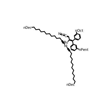 CCCCCCCCCCCCCCCCCCCCCC#[C][Ni][C]#CCCCCCCCCCCCCCCCCCCCCC.CCCCCCCCc1cccc(C(=C(C=C=[N+]=[N-])CCCC)c2cccc(CCCCC)c2)c1